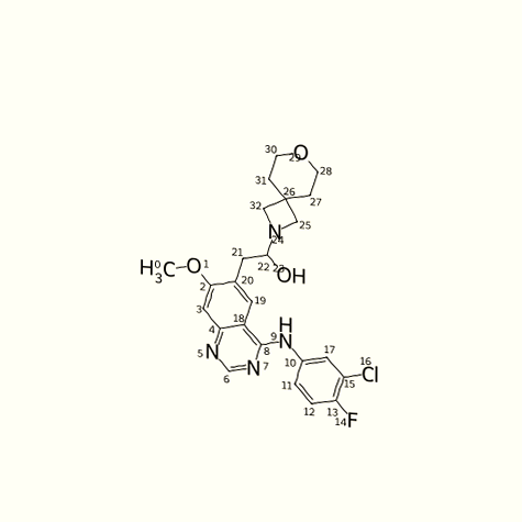 COc1cc2ncnc(Nc3ccc(F)c(Cl)c3)c2cc1CC(O)N1CC2(CCOCC2)C1